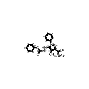 CNC(=O)c1nn(-c2ccccc2)c(NNC(=O)Oc2ccccc2)c1C